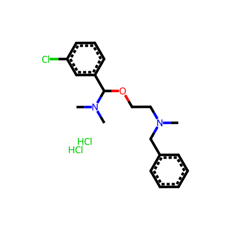 CN(CCOC(c1cccc(Cl)c1)N(C)C)Cc1ccccc1.Cl.Cl